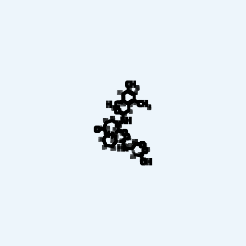 Cc1cc(C)c(CC(=O)NN2CCC(=O)N3CCC[C@@H](C(=O)N[C@H](C=O)CC(=O)O)N3C2=O)c(C)c1